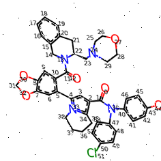 O=C(c1cc(-c2cc3c(cc2C(=O)N2Cc4ccccc4C[C@H]2CN2CCOCC2)OCO3)n2c1CCCC2)N(c1ccc(O)cc1)c1ccc(Cl)cc1